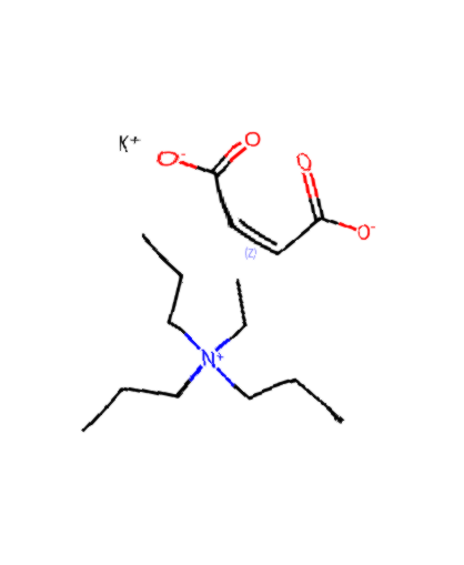 CCC[N+](CC)(CCC)CCC.O=C([O-])/C=C\C(=O)[O-].[K+]